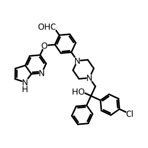 O=Cc1ccc(N2CCN(CC(O)(c3ccccc3)c3ccc(Cl)cc3)CC2)cc1Oc1cnc2[nH]ccc2c1